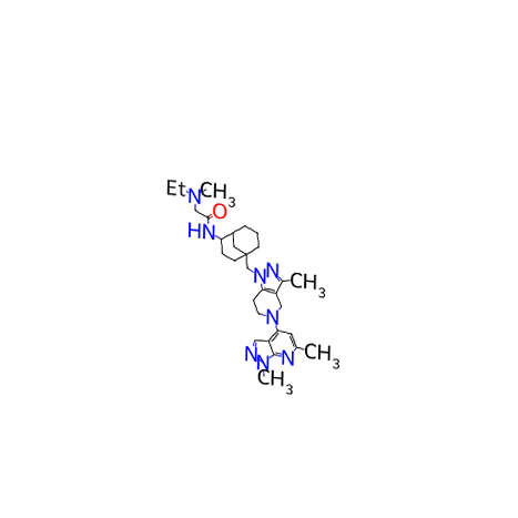 CCN(C)CC(=O)NC1CCC2(Cn3nc(C)c4c3CCN(c3cc(C)nc5c3cnn5C)C4)CCCC1C2